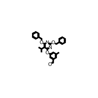 Cc1cc(C=O)cc(Oc2nc(OCc3ccccc3)nc(OCc3ccccc3)c2C(C)C)c1